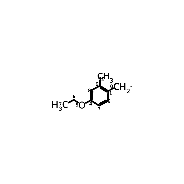 [CH2]c1ccc(OCC)cc1C